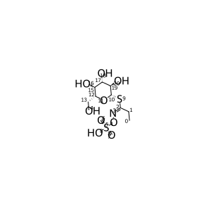 CCC(=NOS(=O)(=O)O)S[C@@H]1O[C@H](CO)[C@@H](O)[C@H](O)[C@H]1O